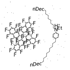 CCCCCCCCCCCCCCCCCCCc1ccc([NH+](CC)CCCCCCCCCCCCCCCCCC)cc1.Fc1c(F)c(F)c2c(F)c([B-](c3c(F)c(F)c4c(F)c(F)c(F)c(F)c4c3F)(c3c(F)c(F)c4c(F)c(F)c(F)c(F)c4c3F)c3c(F)c(F)c4c(F)c(F)c(F)c(F)c4c3F)c(F)c(F)c2c1F